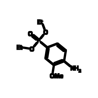 CCOP(=O)(OCC)c1ccc(N)c(OC)c1